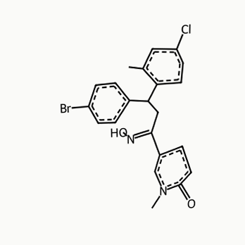 Cc1cc(Cl)ccc1C(C/C(=N\O)c1ccc(=O)n(C)c1)c1ccc(Br)cc1